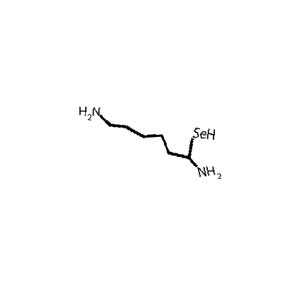 NCCCCCC(N)[SeH]